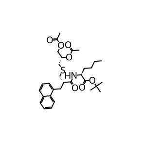 CCCC[C@H](NC(=O)[C@@H](CSC[C@H](COC(C)=O)OC(C)=O)Cc1cccc2ccccc12)C(=O)OC(C)(C)C